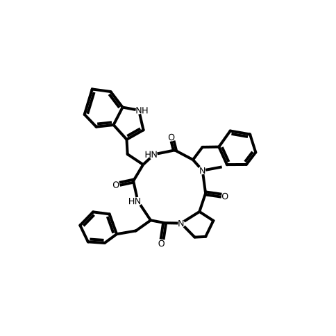 CN1C(=O)C2CCCN2C(=O)C(Cc2ccccc2)NC(=O)C(Cc2c[nH]c3ccccc23)NC(=O)C1Cc1ccccc1